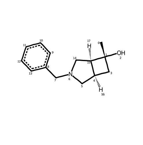 C[C@@]1(O)C[C@H]2CN(Cc3ccccc3)C[C@H]21